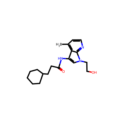 Bc1ccnc2c1c(NC(=O)CCC1CCCCC1)cn2CCO